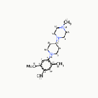 COc1cc(N2CCC(N3CCN(C)CC3)CC2)c(C)cc1N=O